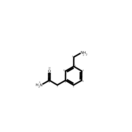 NCc1cccc(CC(N)=O)c1